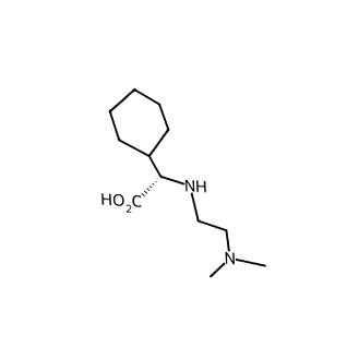 CN(C)CCN[C@H](C(=O)O)C1CCCCC1